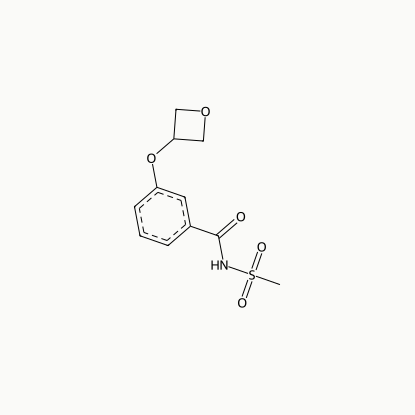 CS(=O)(=O)NC(=O)c1cccc(OC2COC2)c1